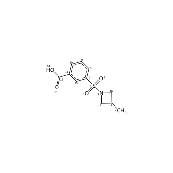 CC1CN(S(=O)(=O)c2cccc(C(=O)O)c2)C1